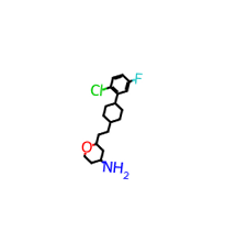 NC1CCOC(CCC2CCC(c3cc(F)ccc3Cl)CC2)C1